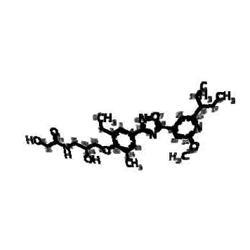 CCc1cc(-c2noc(-c3cc(OC)nc(C(CC)CC)c3)n2)cc(C)c1OC[C@@H](O)CNC(=O)CO